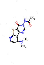 CC(=O)Nn1cnc2c(sc3nccc(N(C)C)c32)c1=O